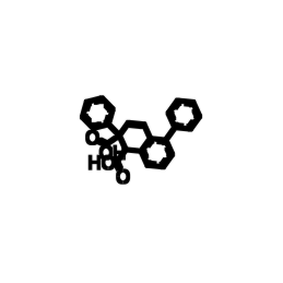 O=C(O)C1c2cccc(-c3ccccc3)c2C=CC1(C(=O)O)c1ccccc1